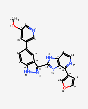 COc1cncc(-c2ccc3[nH]nc(-c4nc5c(-c6ccoc6)nccc5[nH]4)c3c2)c1